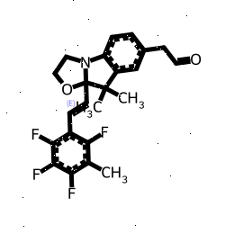 Cc1c(F)c(F)c(F)c(/C=C/C23OCCN2c2ccc(CC=O)cc2C3(C)C)c1F